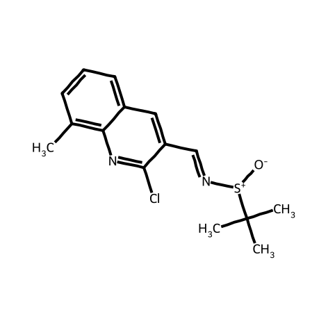 Cc1cccc2cc(/C=N/[S+]([O-])C(C)(C)C)c(Cl)nc12